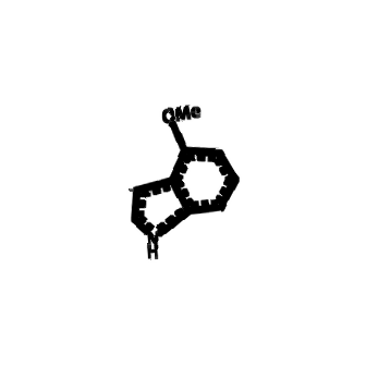 COc1cccc2[nH]c[c]c12